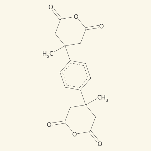 CC1(c2ccc(C3(C)CC(=O)OC(=O)C3)cc2)CC(=O)OC(=O)C1